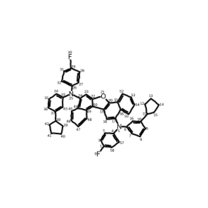 Fc1ccc(N(c2cccc(C3CCCC3)c2)c2cc3c(oc4cc(N(c5ccc(F)cc5)c5cccc(C6CCCC6)c5)c5ccccc5c43)c3ccccc23)cc1